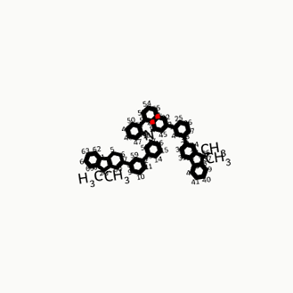 CC1(C)C2=C(CCC(c3cccc(-c4cccc(N(c5cccc(-c6cccc(-c7ccc8c(c7)C(C)(C)c7ccccc7-8)c6)c5)c5ccccc5-c5ccccc5)c4)c3)=C2)c2ccccc21